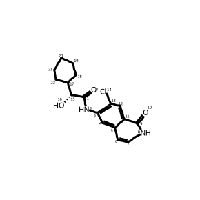 O=C(Nc1cc2cc[nH]c(=O)c2cc1Cl)[C@H](O)C1CCCCC1